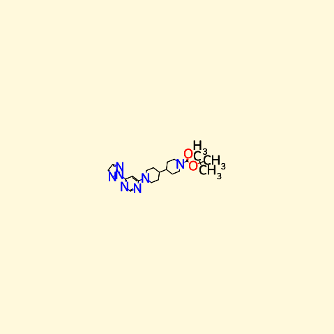 CC(C)(C)OC(=O)N1CCC(C2CCN(c3cc(-n4nccn4)ncn3)CC2)CC1